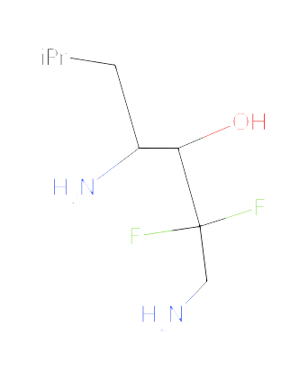 CC(C)CC(N)C(O)C(F)(F)CN